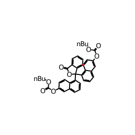 CCCCOC(=O)Oc1ccc2c(C3(c4cccc5cc(OC(=O)OCCCC)ccc45)OC(=O)c4ccccc43)cccc2c1